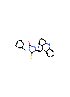 O=C1NC(=Cc2c3ccccc3nc3ccccc23)C(=S)N1Cc1ccccc1